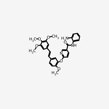 COc1ccc(C=Cc2cc(OC)c(OC)c(OC)c2)cc1Oc1ccc(C(=O)Nc2ccccc2N)cn1